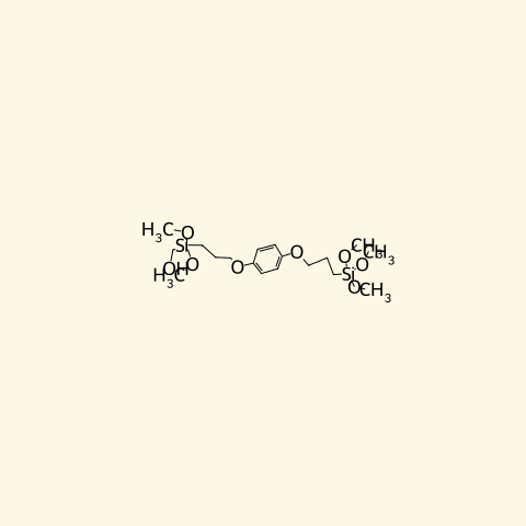 CO[Si](CO)(CCCOc1ccc(OCCC[Si](OC)(OC)OC)cc1)OC